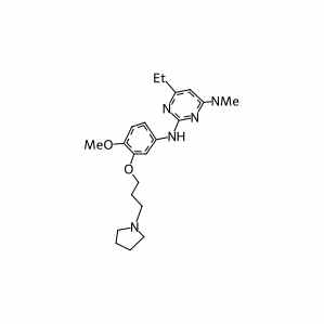 CCc1cc(NC)nc(Nc2ccc(OC)c(OCCCN3CCCC3)c2)n1